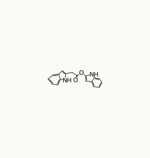 O=C(Cc1cc2ccccc2[nH]1)Oc1cc2ccccc2[nH]1